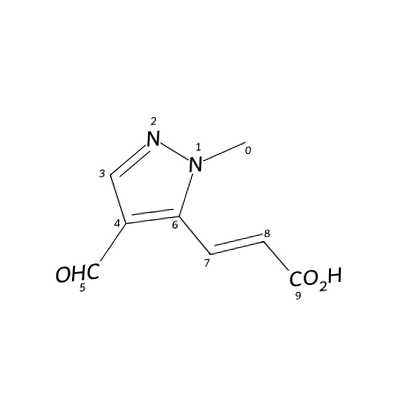 Cn1ncc(C=O)c1/C=C/C(=O)O